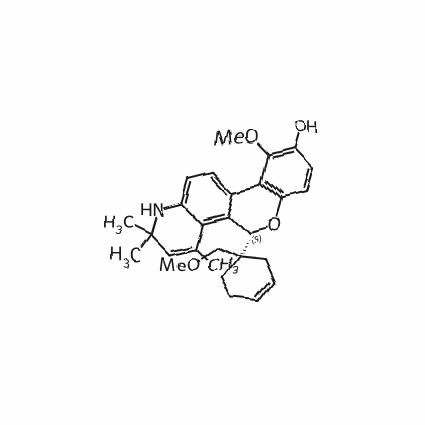 COCC1([C@H]2Oc3ccc(O)c(OC)c3-c3ccc4c(c32)C(C)=CC(C)(C)N4)CC=CCC1